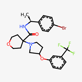 C[C@H](NC(=O)C1(N2CCC(Oc3cccc(C(F)(F)F)c3)C2)CCOCC1)c1ccc(Br)cc1